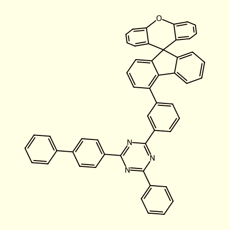 c1ccc(-c2ccc(-c3nc(-c4ccccc4)nc(-c4cccc(-c5cccc6c5-c5ccccc5C65c6ccccc6Oc6ccccc65)c4)n3)cc2)cc1